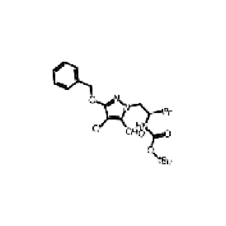 CC(C)[C@H](Cn1nc(OCc2ccccc2)c(Cl)c1C=O)NC(=O)OC(C)(C)C